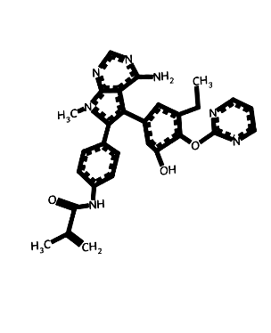 C=C(C)C(=O)Nc1ccc(-c2c(-c3cc(O)c(Oc4ncccn4)c(CC)c3)c3c(N)ncnc3n2C)cc1